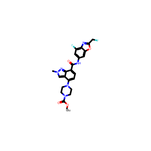 Cn1cc2c(N3CCN(C(=O)OC(C)(C)C)CC3)ccc(C(=O)Nc3cc(F)c4nc(CF)oc4c3)c2n1